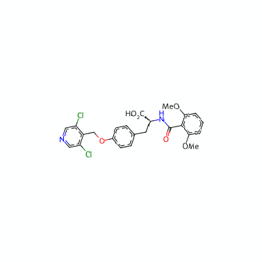 COc1cccc(OC)c1C(=O)N[C@@H](Cc1ccc(OCc2c(Cl)cncc2Cl)cc1)C(=O)O